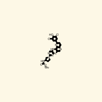 CC(=O)c1cnc2ccc(-c3cc(Cl)c(O)c(Cl)c3)nc2c1Nc1cnc(N2CCC(NC(=O)OC(C)(C)C)C2)nc1